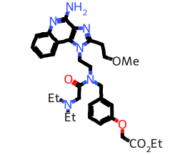 CCOC(=O)COc1cccc(CN(CCn2c(CCOC)nc3c(N)nc4ccccc4c32)C(=O)CN(CC)CC)c1